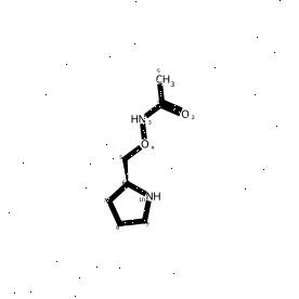 CC(=O)NOC[C@@H]1CCCN1